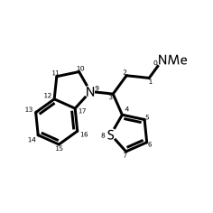 CNCCC(c1cccs1)N1CCc2ccccc21